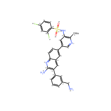 COc1ncc(-c2ccc3nc(N)c(-c4cccc(CN)c4)cc3c2)cc1NS(=O)(=O)c1ccc(F)cc1F